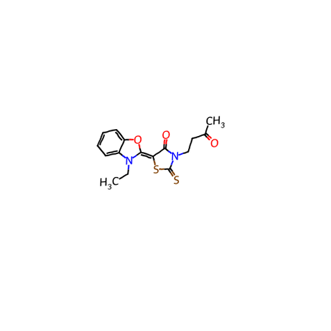 CCN1/C(=C2\SC(=S)N(CCC(C)=O)C2=O)Oc2ccccc21